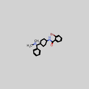 CN(C)C(c1ccccc1)C1CCC(NC(=O)c2ccccc2Br)CC1